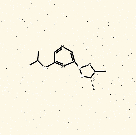 CC(C)Oc1cncc(B2OC(C)[C@H](C)O2)n1